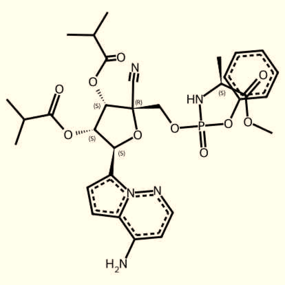 COC(=O)[C@H](C)NP(=O)(OC[C@@]1(C#N)O[C@@H](c2ccc3c(N)ccnn23)[C@H](OC(=O)C(C)C)[C@@H]1OC(=O)C(C)C)Oc1ccccc1